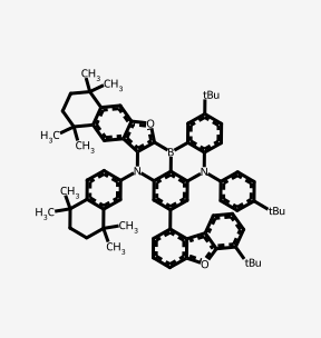 CC(C)(C)c1ccc(N2c3ccc(C(C)(C)C)cc3B3c4oc5cc6c(cc5c4N(c4ccc5c(c4)C(C)(C)CCC5(C)C)c4cc(-c5cccc7oc8c(C(C)(C)C)cccc8c57)cc2c43)C(C)(C)CCC6(C)C)cc1